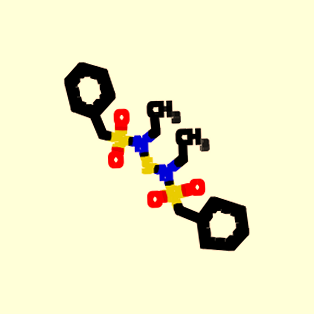 CCN(SN(CC)S(=O)(=O)Cc1ccccc1)S(=O)(=O)Cc1ccccc1